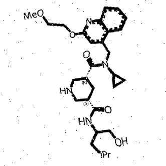 COCCOc1cc(CN(C(=O)[C@H]2CNC[C@@H](C(=O)NC(CO)CC(C)C)C2)C2CC2)c2ccccc2n1